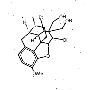 CCC1[C@H]2[C@H]3Cc4ccc(OC)c5c4[C@@]2(CCN3C)C(O5)C(O)C1(CO)CO